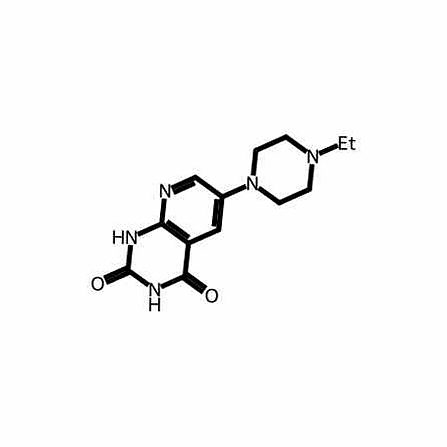 CCN1CCN(c2cnc3[nH]c(=O)[nH]c(=O)c3c2)CC1